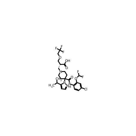 CC(C)c1ccnn1C1(C(=O)Nc2ccc(Cl)cc2OC(F)F)CCN(C[C@H](COCC(F)(F)F)C(=O)O)CC1